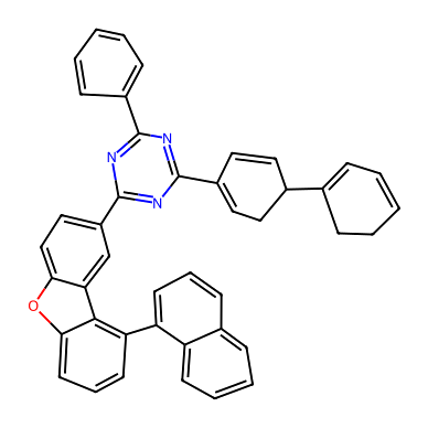 C1=CCCC(C2C=CC(c3nc(-c4ccccc4)nc(-c4ccc5oc6cccc(-c7cccc8ccccc78)c6c5c4)n3)=CC2)=C1